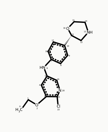 CCOc1cc(Nc2ccc([C@H]3CNCCO3)cc2)cnc1Cl